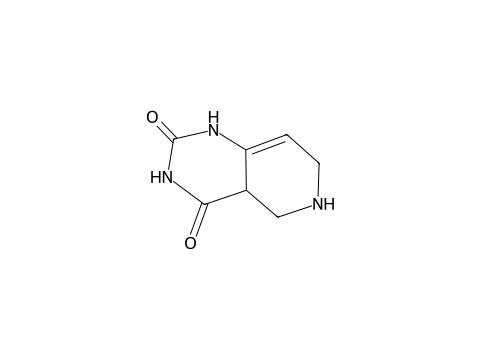 O=C1NC(=O)C2CNCC=C2N1